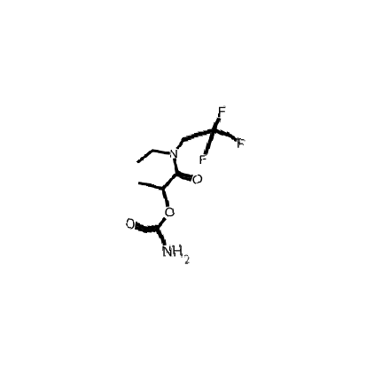 CCN(CC(F)(F)F)C(=O)C(C)OC(N)=O